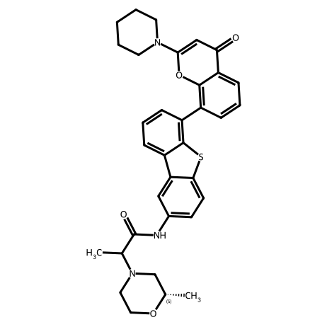 CC(C(=O)Nc1ccc2sc3c(-c4cccc5c(=O)cc(N6CCCCC6)oc45)cccc3c2c1)N1CCO[C@@H](C)C1